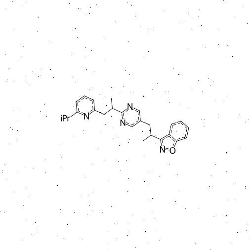 CC(C)c1cccc(CC(C)c2ncc(CC(C)c3noc4ccccc34)cn2)n1